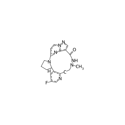 CN1CCc2ncc(F)cc2[C@H]2CCCN2c2ccn3ncc(c3n2)C(=O)N1